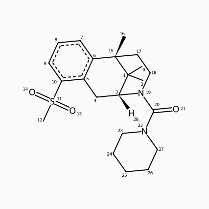 CC1(C)[C@H]2Cc3c(cccc3S(C)(=O)=O)[C@]1(C)CCN2C(=O)N1CCCCC1